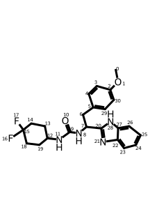 COc1ccc(CC(NC(=O)NC2CCC(F)(F)CC2)c2nc3ccccc3[nH]2)cc1